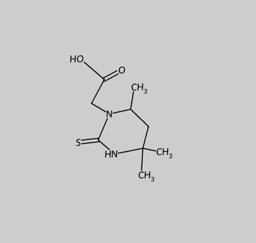 CC1CC(C)(C)NC(=S)N1CC(=O)O